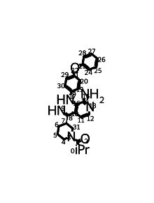 CC(C)C(=O)N1CCC[C@@H](C(=N)c2ccnc(N)c2Nc2ccc(Oc3ccccc3)cc2)C1